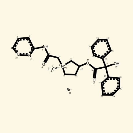 C[N@@+]1(CC(=O)Nc2cccnn2)CCC(OC(=O)C(O)(c2ccccc2)c2ccccc2)C1.[Br-]